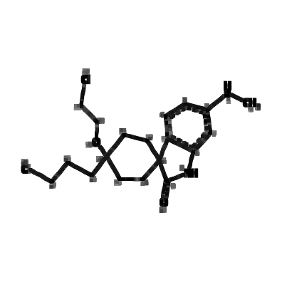 CBc1ccc2c(c1)NC(=O)C21CCC(CCCCl)(OCCCl)CC1